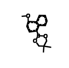 COc1ccc(B2OCC(C)(C)CO2)c2ccccc12